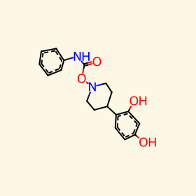 O=C(Nc1ccccc1)ON1CCC(c2ccc(O)cc2O)CC1